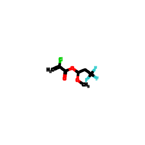 C=C(Cl)C(=O)OC(CC(F)(F)F)OC